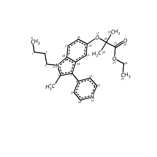 CCCCn1c(C)c(-c2ccncc2)c2cc(OC(C)(C)C(=O)OCC)ccc21